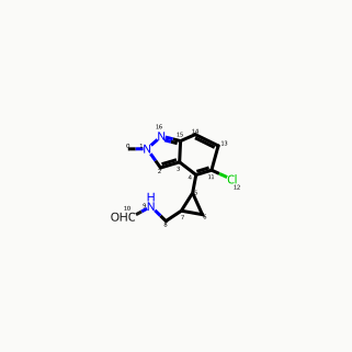 Cn1cc2c(C3CC3CNC=O)c(Cl)ccc2n1